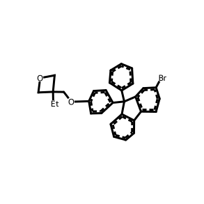 CCC1(COc2ccc(C3(c4ccccc4)c4ccccc4-c4ccc(Br)cc43)cc2)COC1